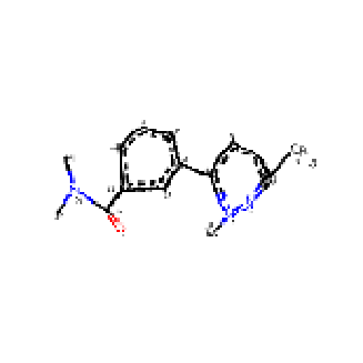 CCn1nc(C(F)(F)F)cc1-c1cccc(C(=O)N(C)C)c1